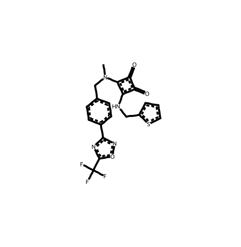 CN(Cc1ccc(-c2noc(C(F)(F)F)n2)cc1)c1c(NCc2cccs2)c(=O)c1=O